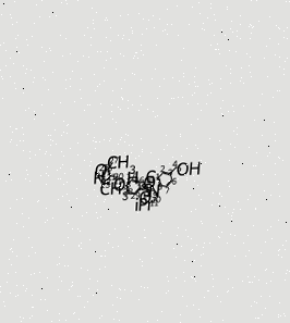 Cc1cc(CO)ccc1N(CC(C)C)S(=O)(=O)c1ccc(OCc2c(C)noc2C)cc1